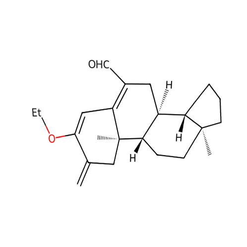 C=C1C[C@@]2(C)C(=C(C=O)C[C@H]3[C@@H]4CCC[C@@]4(C)CC[C@@H]32)C=C1OCC